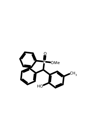 COP(=O)(c1ccccc1)C(c1ccccc1)c1cc(C)ccc1O